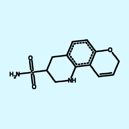 NS(=O)(=O)C1CNc2c(ccc3c2C=CCO3)C1